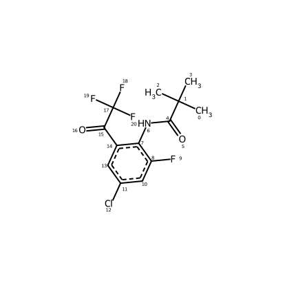 CC(C)(C)C(=O)Nc1c(F)cc(Cl)cc1C(=O)C(F)(F)F